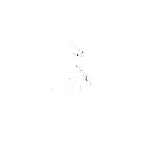 Cc1cc(C(=O)c2cc(N(C)C)nc(N3CCC(n4nc(-c5ccccc5)[nH]c4=O)CC3)c2)cc(C)c1O